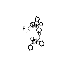 CCC(CCCN1CCC(NC(=O)c2ccccc2-c2ccc(C(F)(F)F)cc2)CC1)(CC(=O)OCc1ccccc1)c1ccccc1